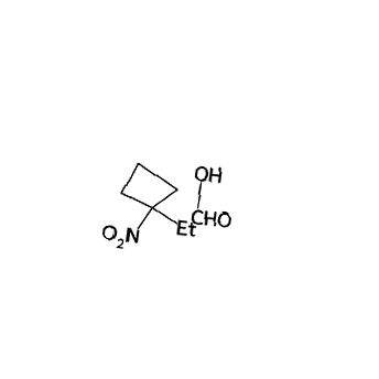 CCC1([N+](=O)[O-])CCC1.O=CO